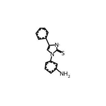 Nc1cccc(N2C=C(c3ccccc3)[N]C2=S)c1